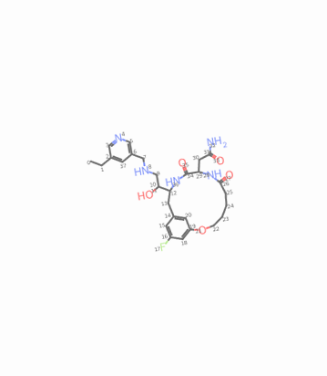 CCc1cncc(CNCC(O)C2Cc3cc(F)cc(c3)OCCCCC(=O)NC(CC(N)=O)C(=O)N2)c1